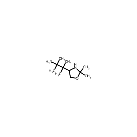 CC1(C)NC(C(C)(C)C(C)(C)N)CO1